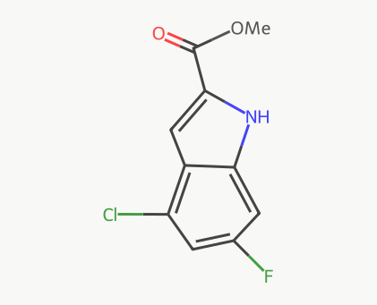 COC(=O)c1cc2c(Cl)cc(F)cc2[nH]1